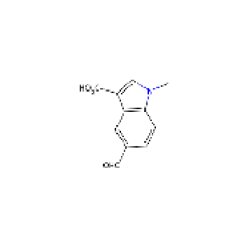 Cn1cc(C(=O)O)c2cc(C=O)ccc21